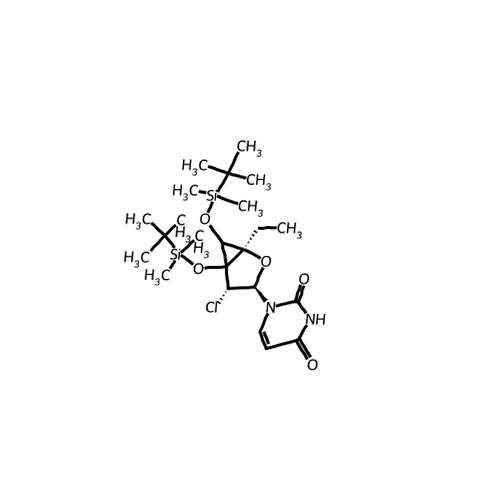 CC[C@]12O[C@@H](n3ccc(=O)[nH]c3=O)[C@H](Cl)C1(O[Si](C)(C)C(C)(C)C)C2O[Si](C)(C)C(C)(C)C